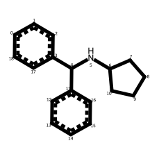 c1ccc(C(NC2CCCC2)c2ccccc2)cc1